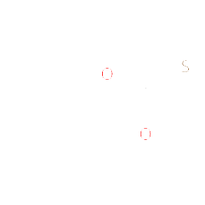 CC=C1COC(=S)O1